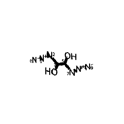 [N-]=[N+]=NC(O)C(O)N=[N+]=[N-]